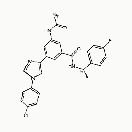 CC(C)C(=O)Nc1cc(C(=O)N[C@H](C)c2ccc(F)cc2)cc(-c2cn(-c3ccc(Cl)cc3)cn2)c1